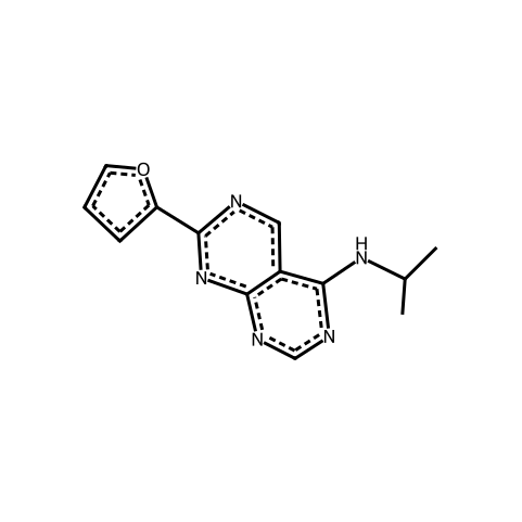 CC(C)Nc1ncnc2nc(-c3ccco3)ncc12